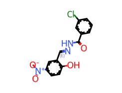 O=C(N/N=C/c1cc([N+](=O)[O-])ccc1O)c1cccc(Cl)c1